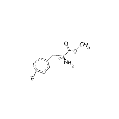 COC(=O)[C@@H](N)Cc1ccc(F)cc1